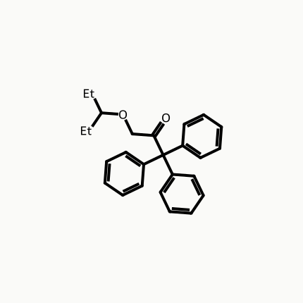 CCC(CC)OCC(=O)C(c1ccccc1)(c1ccccc1)c1ccccc1